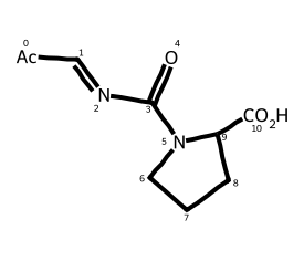 CC(=O)C=NC(=O)N1CCCC1C(=O)O